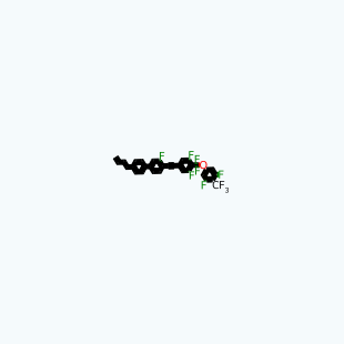 C=CCCc1ccc(-c2ccc(C#Cc3cc(F)c(C(F)(F)Oc4cc(F)c(C(F)(F)F)c(F)c4)c(F)c3)c(F)c2)cc1